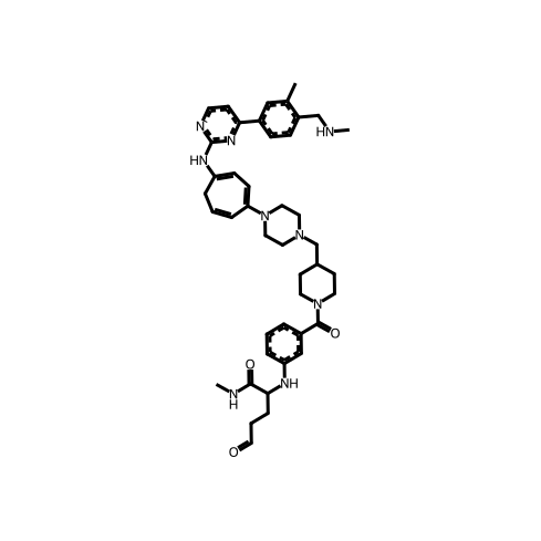 CNCc1ccc(-c2ccnc(NC3=CC=C(N4CCN(CC5CCN(C(=O)c6cccc(NC(CCC=O)C(=O)NC)c6)CC5)CC4)C=CC3)n2)cc1C